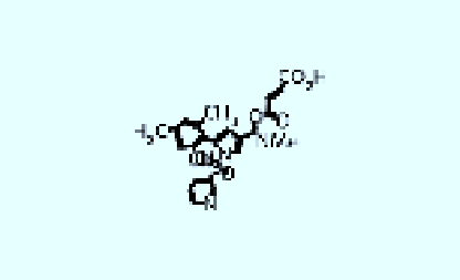 CNC(OC(=O)/C=C/C(=O)O)c1cc(-c2c(C)cc(C)cc2C)n(S(=O)(=O)c2cccnc2)c1